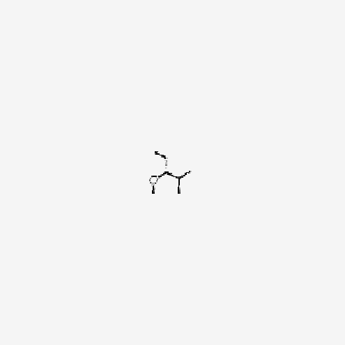 CC[C@@H](OC)C(C)C